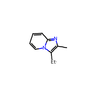 C[CH]c1c(C)nc2ccccn12